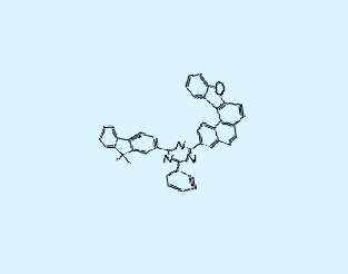 CC1(C)c2ccccc2-c2ccc(-c3nc(-c4ccccc4)nc(-c4ccc5c(ccc6ccc7oc8ccccc8c7c65)c4)n3)cc21